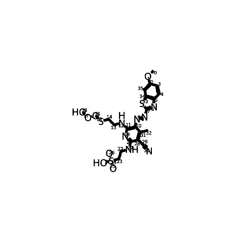 COc1ccc2nc(N=Nc3c(NCCSOOO)nc(NCCS(=O)(=O)O)c(C#N)c3C)sc2c1